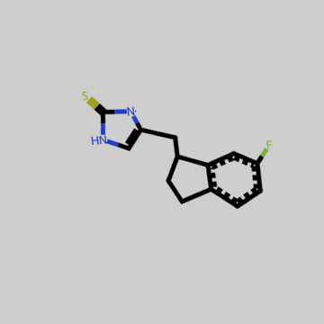 Fc1ccc2c(c1)C(CC1=CNC(=S)[N]1)CC2